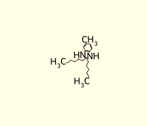 CCCCCCC1(CCCCCC)Nc2ccc(C)cc2N1